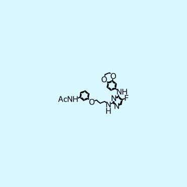 CC(=O)Nc1cccc(OCCCNc2ncc(F)c(Nc3ccc4c(c3)OCCO4)n2)c1